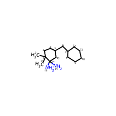 CC1(C)CCC(CC2CCCCC2)CC1(N)N